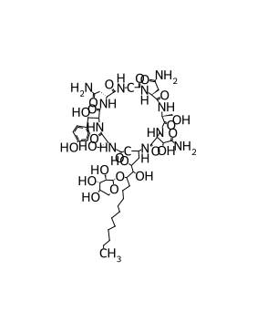 CCCCCCCCCCCC(O[C@@H]1OC[C@@H](O)[C@H](O)[C@H]1O)C(O)C(O)CC1CC(=O)N[C@H](CO)C(=O)NC(C(O)c2ccc(O)cc2)C(=O)N[C@H](CC(N)=O)C(=O)NCC(=O)N[C@@H](CC(N)=O)C(=O)N[C@@H](CO)C(=O)N[C@@H]([C@H](O)C(N)=O)C(=O)N1